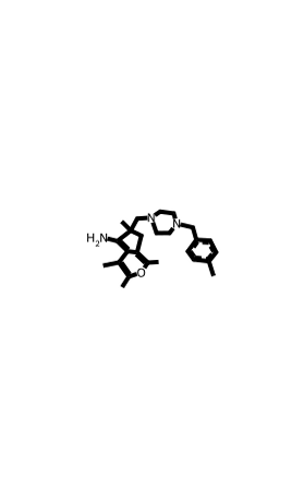 CC1=C(C)C2=C(N)C(C)(CN3CCN(Cc4ccc(C)cc4)CC3)CC2=C(C)O1